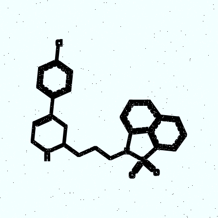 O=S1(=O)c2cccc3cccc(c23)N1CCCC1CC(c2ccc(Cl)cc2)=CCN1